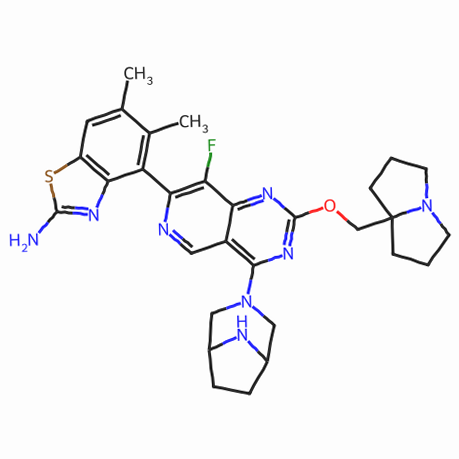 Cc1cc2sc(N)nc2c(-c2ncc3c(N4CC5CCC(C4)N5)nc(OCC45CCCN4CCC5)nc3c2F)c1C